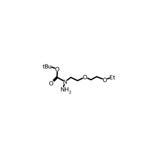 CCOCCOCCN(N)C(=O)OC(C)(C)C